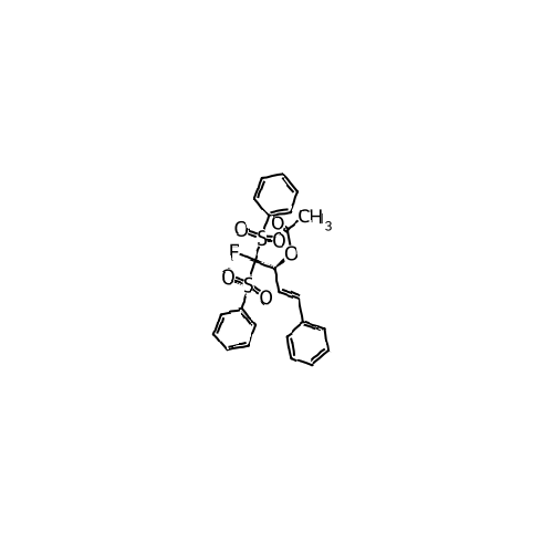 CC(=O)O[C@@H](/C=C/c1ccccc1)C(F)(S(=O)(=O)c1ccccc1)S(=O)(=O)c1ccccc1